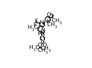 CC1=CCOC12CCN(c1cc3c(c(C(F)F)n1)[C@@H](C)C[C@H]1[C@H](N4CCN(C(=O)OC(C)(C)C)CC4)CN31)[C@H](C)C2